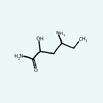 CCC(N)CC(O)C(N)=O